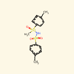 Cc1ccc(S(=O)(=O)N[SH](C)(=O)c2ccc(C)cc2)cc1